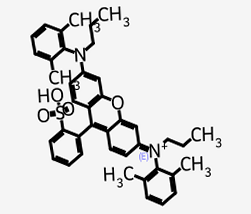 CCCN(c1ccc2c(-c3ccccc3S(=O)(=O)O)c3cc/c(=[N+](/CCC)c4c(C)cccc4C)cc-3oc2c1)c1c(C)cccc1C